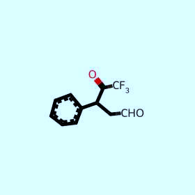 O=CCC(C(=O)C(F)(F)F)c1ccccc1